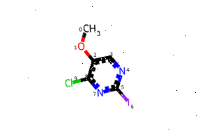 COc1cnc(I)nc1Cl